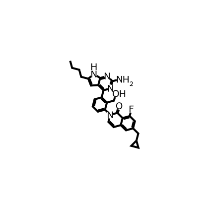 CCCCc1cc2c(-c3cccc(-n4ccc5cc(CC6CC6)cc(F)c5c4=O)c3CO)nc(N)nc2[nH]1